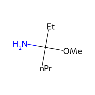 CCCC(N)(CC)OC